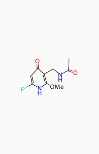 COc1[nH]c(F)cc(=O)c1CNC(=O)I